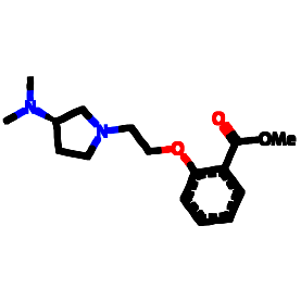 COC(=O)c1ccccc1OCCN1CC[C@@H](N(C)C)C1